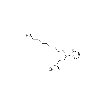 CCCCCCCCCC(CCC(Br)CC)c1cccs1